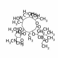 C=CC(=O)O[C@@H](C(C)C)C(C)C[C@@H](C)O[C@H]1[C@H](C)[C@@H](O[C@@H]2OC(C)C[C@H](N(C)C)[C@H]2O)[C@](C)(O)C[C@@H](C)/C(=N\O)[C@H](C)[C@@H](O)[C@](C)(O)[C@@H](CC)OC(=O)[C@@H]1C